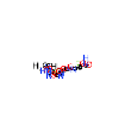 CCN(C)S(=O)(=O)Nc1ccc(F)c(Oc2ccc3ncn([C@H]4COC5(CCN(C(=O)CN6CCC(c7ccc(C8CCC(=O)NC8=O)cc7F)CC6)CC5)C4)c(=O)c3c2)c1C#N